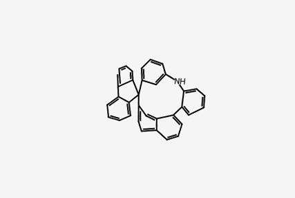 c1cc2cc(c1)C1(c3ccc4cccc(c4c3)-c3ccccc3N2)c2ccccc2-c2ccccc21